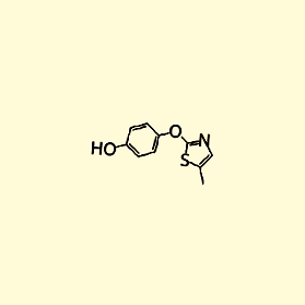 Cc1cnc(Oc2ccc(O)cc2)s1